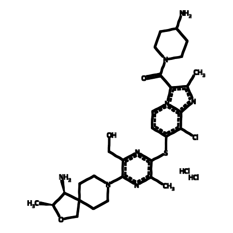 Cc1nc(N2CCC3(CC2)CO[C@@H](C)[C@H]3N)c(CO)nc1Sc1ccn2c(C(=O)N3CCC(N)CC3)c(C)nc2c1Cl.Cl.Cl